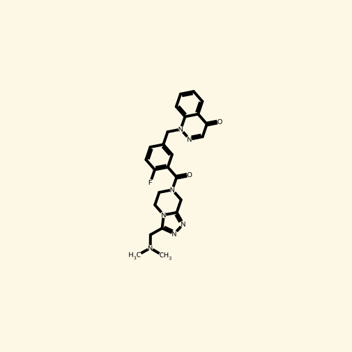 CN(C)Cc1nnc2n1CCN(C(=O)c1cc(Cn3ncc(=O)c4ccccc43)ccc1F)C2